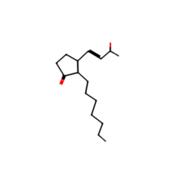 CCCCC(O)C=CC1CCC(=O)C1CCCCCCC(=O)O